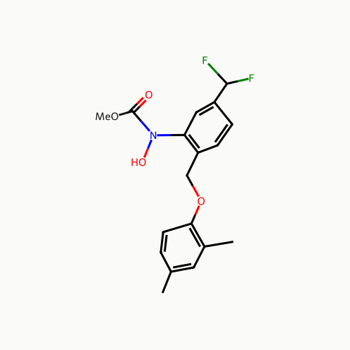 COC(=O)N(O)c1cc(C(F)F)ccc1COc1ccc(C)cc1C